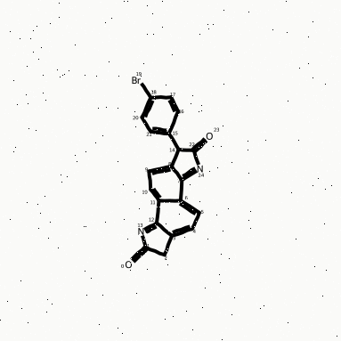 O=C1Cc2ccc3c4c(ccc3c2=N1)C(c1ccc(Br)cc1)C(=O)N=4